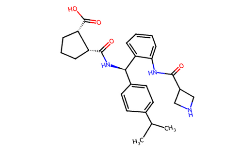 CC(C)c1ccc([C@@H](NC(=O)[C@@H]2CCC[C@@H]2C(=O)O)c2ccccc2NC(=O)C2CNC2)cc1